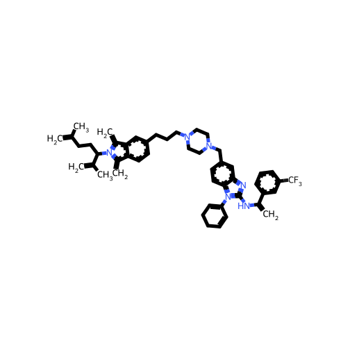 C=C(C)CCC(C(=C)C)n1c(=C)c2ccc(CCCN3CCN(Cc4ccc5c(c4)nc(NC(=C)c4cccc(C(F)(F)F)c4)n5C4=CCCC=C4)CC3)cc2c1=C